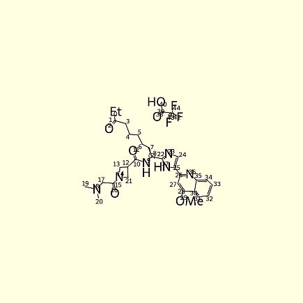 CCC(=O)CCCCC[C@H](NC(=O)C1CN(C(=O)CN(C)C)C1)c1ncc(-c2cc(OC)c3ccccc3n2)[nH]1.O=C(O)C(F)(F)F